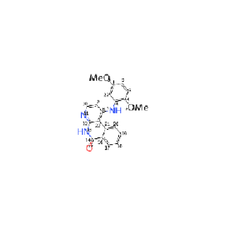 COc1ccc(OC)c(Nc2ccnc3[nH]c(=O)c4ccccc4c23)c1